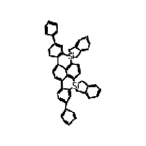 c1ccc(-c2ccc3c(c2)[Si]2(Cc4ccccc4C2)c2ccc4c5c(ccc-3c25)-c2ccc(-c3ccccc3)cc2[Si]42Cc3ccccc3C2)cc1